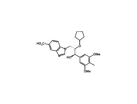 COc1cc([C@@H](O)[C@H](Cn2cnc3cc(C(=O)O)ccc32)OC2CCCC2)cc(OC)c1C